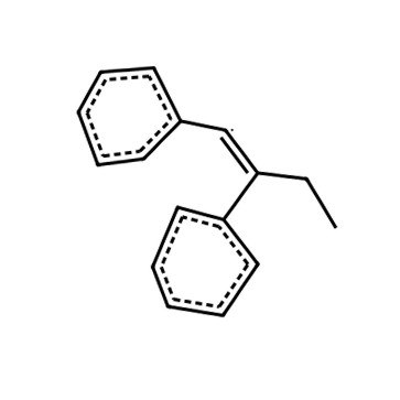 CCC(=[C]c1ccccc1)c1ccccc1